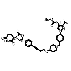 CC(C)(C)OC(=O)Nc1cn(C2CCC(CN3CCC(OCCC#Cc4ccc([C@@H]5CN([C@@H]6CCC(=O)NC6=O)C(=O)O5)cc4)CC3)CC2)nc1C(F)F